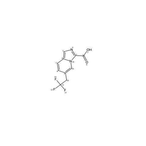 O=C(O)c1ncc2ccc(CC(F)(F)F)cn12